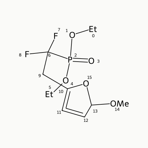 CCOP(=O)(OCC)C(F)(F)CC1=C=CC(OC)O1